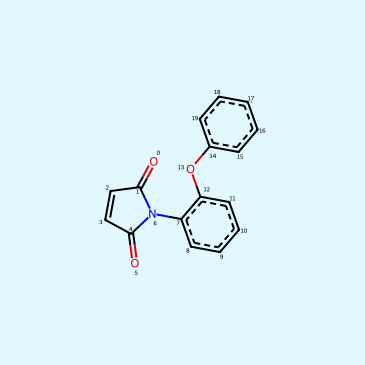 O=C1C=CC(=O)N1c1ccccc1Oc1cc[c]cc1